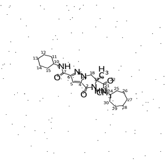 CN1C(=O)c2cc(C(=O)NC3CCCCC3)nn2CC1(C)C(=O)NC1CCCCCC1